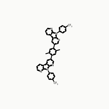 Cc1cc(-c2cnc3c(c2)c2cccnc2n3-c2ccc(C(F)(F)F)cc2)c(C)cc1-c1cnc2c(c1)c1cccnc1n2-c1ccc(C(F)(F)F)cc1